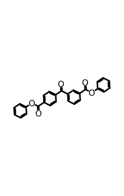 O=C(Oc1ccccc1)c1ccc(C(=O)c2cccc(C(=O)Oc3ccccc3)c2)cc1